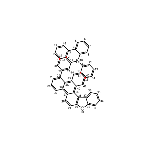 c1ccc(-c2ccccc2N(c2ccccc2)c2cccc(-c3cccc4c5ccc6oc7ccccc7c6c5c5ccccc5c34)c2)cc1